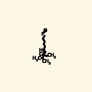 CCC(C)(CCCCCCCP=O)C(C)C